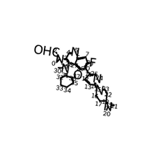 CN(C=O)c1cnc2cc(F)c(-c3ccc(N4CCC(N(C)C)CC4)nc3)c3c2c1N(C)C1CCCCC1O3